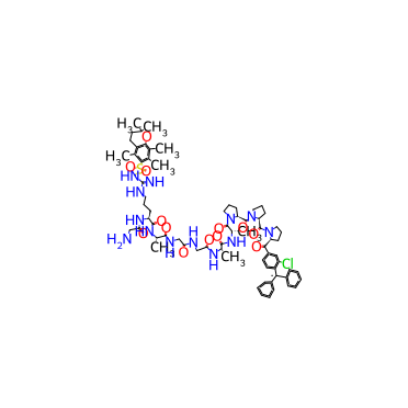 Cc1c(C)c(S(=O)(=O)NC(=N)NCCC[C@H](NC(=O)CN)C(=O)N[C@@H](C)C(=O)NCC(=O)NCC(=O)N[C@@H](C)C(=O)N[C@@H](C)C(=O)N2CCC[C@H]2C(=O)N2CCC[C@H]2C(=O)N2CCC[C@H]2C(=O)c2ccc([C](c3ccccc3)c3ccccc3)c(Cl)c2)c(C)c2c1OC(C)(C)CC2